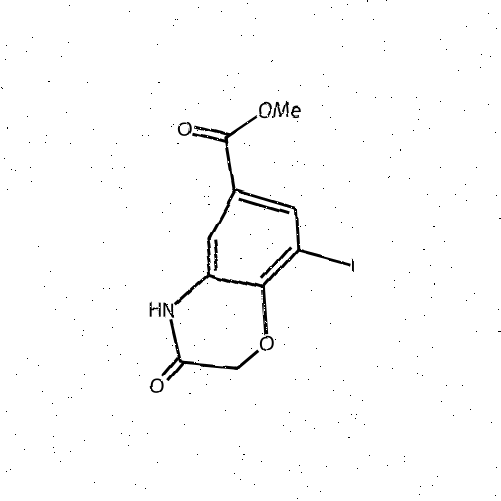 COC(=O)c1cc(I)c2c(c1)NC(=O)CO2